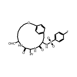 CC(C)C1NC(=O)C(NS(=O)(=O)c2ccc(F)cc2)Cc2ccc(cc2)OCCCCC(C=O)NC1=O